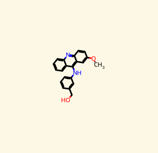 COc1ccc2nc3ccccc3c(Nc3cccc(CO)c3)c2c1